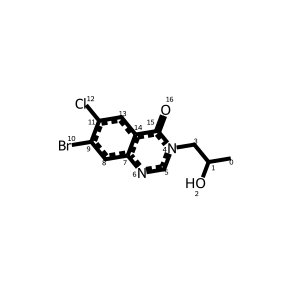 CC(O)Cn1cnc2cc(Br)c(Cl)cc2c1=O